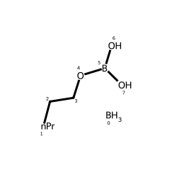 B.CCCCCOB(O)O